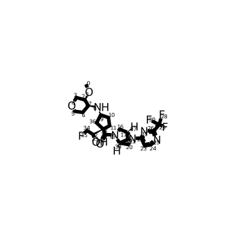 CO[C@@H]1COCC[C@@H]1N[C@@H]1CC[C@@](C(=O)N2C[C@@H]3C[C@H]2CN3c2ccnc(C(F)(F)F)n2)(C(O)CF)C1